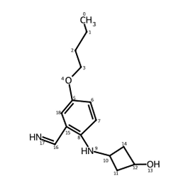 CCCCOc1ccc(NC2CC(O)C2)c(C=N)c1